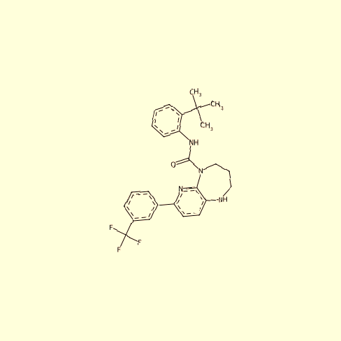 CC(C)(C)c1ccccc1NC(=O)N1CCCNc2ccc(-c3cccc(C(F)(F)F)c3)nc21